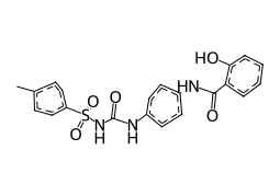 Cc1ccc(S(=O)(=O)NC(=O)Nc2ccc(NC(=O)c3ccccc3O)cc2)cc1